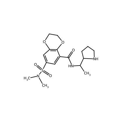 CC(NC(=O)c1cc(S(=O)(=O)N(C)C)cc2c1OCCO2)C1CCCN1